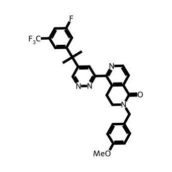 COc1ccc(CN2CCc3c(ccnc3-c3cc(C(C)(C)c4cc(F)cc(C(F)(F)F)c4)cnn3)C2=O)cc1